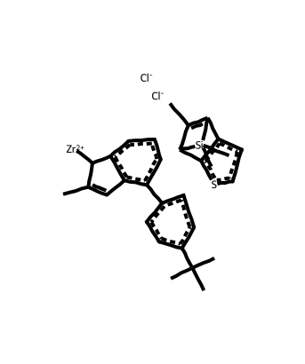 CC1=C2c3ccsc3C1[Si]2(C)C.CC1=Cc2c(-c3ccc(C(C)(C)C)cc3)cccc2[CH]1[Zr+2].[Cl-].[Cl-]